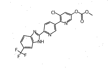 COC(=O)Oc1cnc(-c2ccc(-c3nc4ccc(C(F)(F)F)cc4[nH]3)nc2)c(Cl)c1